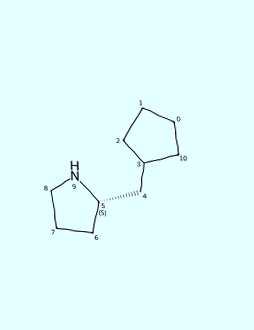 C1CCC(C[C@@H]2CCCN2)C1